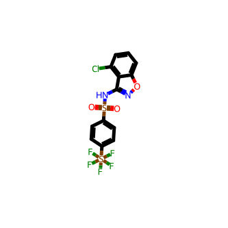 O=S(=O)(Nc1noc2cccc(Cl)c12)c1ccc(S(F)(F)(F)(F)F)cc1